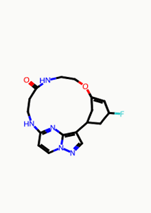 O=C1CCNc2ccn3ncc(c3n2)C2CC(=CC(F)C2)OCCN1